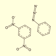 O=[N+]([O-])c1cccc([N+](=O)[O-])c1.[N-]=[N+]=Nc1ccccc1